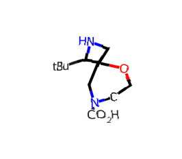 CC(C)(C)C1NCC12CN(C(=O)O)CCO2